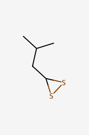 CC(C)CC1SS1